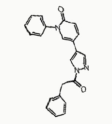 O=C(Cc1ccccc1)n1cc(-c2ccc(=O)n(-c3ccccc3)c2)cn1